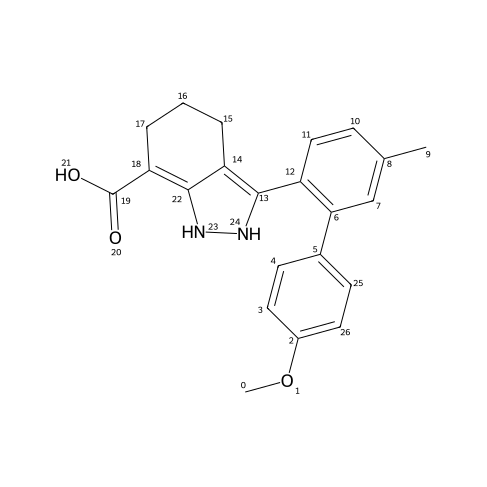 COc1ccc(-c2cc(C)ccc2C2=C3CCCC(C(=O)O)=C3NN2)cc1